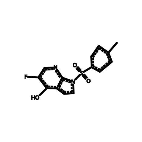 Cc1ccc(S(=O)(=O)n2ccc3c(O)c(F)cnc32)cc1